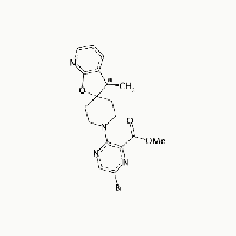 COC(=O)c1nc(Br)cnc1N1CCC2(CC1)Oc1ncccc1[C@H]2C